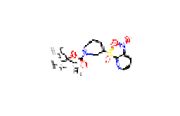 CC(C)(C)OC(=O)N1CCCC(S(=O)(=O)c2ncccc2[N+](=O)[O-])C1